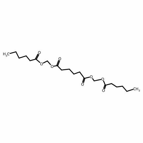 CCCCCC(=O)OCOC(=O)CCCCC(=O)OCOC(=O)CCCCC